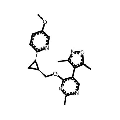 COc1ccc([C@H]2C[C@@H]2COc2nc(C)ncc2-c2c(C)noc2C)nc1